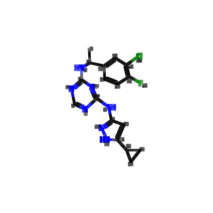 CC(Nc1ncnc(Nc2cc(C3CC3)[nH]n2)n1)c1ccc(F)c(Cl)c1